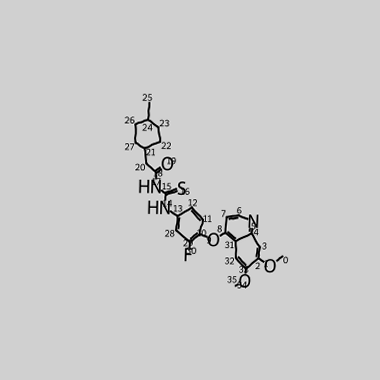 COc1cc2nccc(Oc3ccc(NC(=S)NC(=O)CC4CCC(C)CC4)cc3F)c2cc1OC